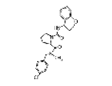 CN(Cc1ccc(Cl)cc1)C(=O)C1CCCN1C(=O)NC1CCOc2ccccc21